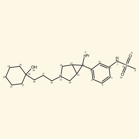 CCCC1(c2cccc(NS(C)(=O)=O)c2)C2CN(CCCC3(O)CCCCC3)CC21